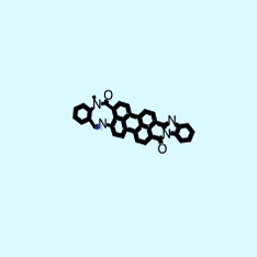 CN1C(=O)c2ccc3c4ccc5c6c(ccc(c7ccc(c2c73)/N=C/c2ccccc21)c46)c(=O)n1c2ccccc2nc51